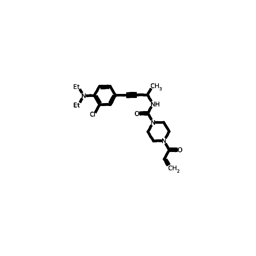 C=CC(=O)N1CCN(C(=O)NC(C)C#Cc2ccc(N(CC)CC)c(Cl)c2)CC1